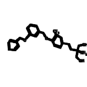 NC(CO)(CO)CCc1ccc(OCc2cccc(OCc3ccccc3)c2)c(C(F)(F)F)c1